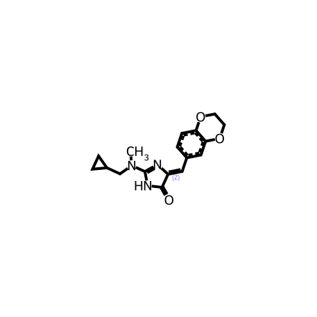 CN(CC1CC1)C1=N/C(=C\c2ccc3c(c2)OCCO3)C(=O)N1